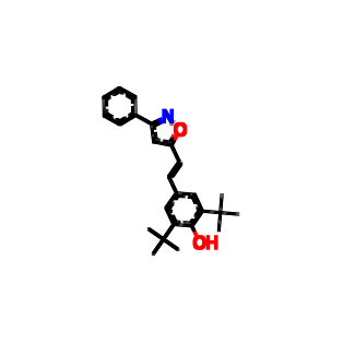 CC(C)(C)c1cc(C=Cc2cc(-c3ccccc3)no2)cc(C(C)(C)C)c1O